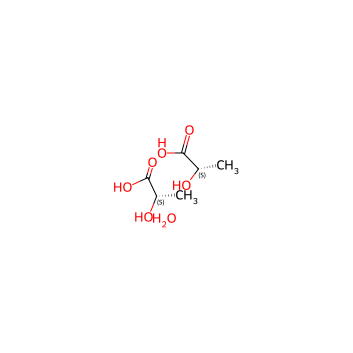 C[C@H](O)C(=O)O.C[C@H](O)C(=O)O.O